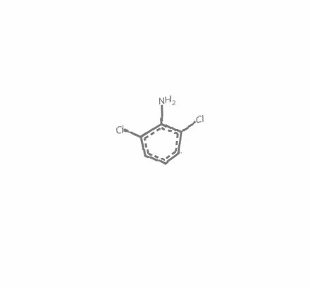 Nc1c(Cl)[c]ccc1Cl